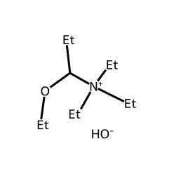 CCOC(CC)[N+](CC)(CC)CC.[OH-]